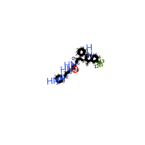 C[C@H](CC[C@@H]1[C@H](C)c2cc(C(F)(F)F)ccc2N[C@H]1C1C=CC=CC1)CNC(=O)NCCCN1CCNCC1